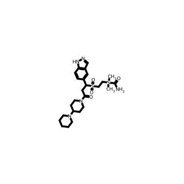 C[Si](C)(CCS(=O)(=O)C([CH]C(=O)N1CCC(N2CCCCC2)CC1)c1ccc2[nH]ncc2c1)C(N)=O